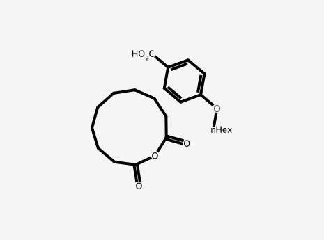 CCCCCCOc1ccc(C(=O)O)cc1.O=C1CCCCCCCCC(=O)O1